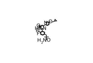 CC(C)(Cc1ccc(C(F)(F)F)c(-c2nc(-c3ccc(OCC4CC4)cn3)cc(=O)[nH]2)c1)C(N)=O